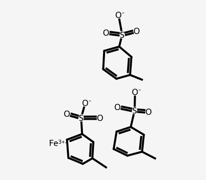 Cc1cccc(S(=O)(=O)[O-])c1.Cc1cccc(S(=O)(=O)[O-])c1.Cc1cccc(S(=O)(=O)[O-])c1.[Fe+3]